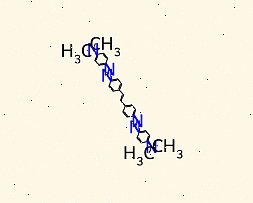 CN(C)c1ccc(N=Nc2ccc(C=Cc3ccc(N=Nc4ccc(N(C)C)cc4)cc3)cc2)cc1